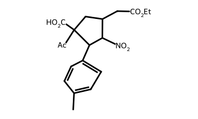 CCOC(=O)CC1CC(C(C)=O)(C(=O)O)C(c2ccc(C)cc2)C1[N+](=O)[O-]